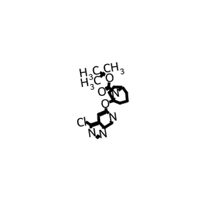 CC(C)(C)OC(=O)N1C2CCCC1(Oc1cc3c(Cl)ncnc3cn1)CC2